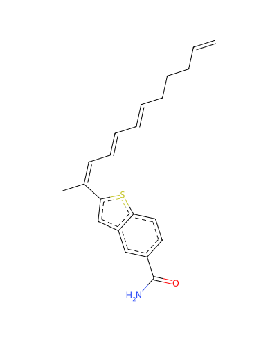 C=CCCC/C=C/C=C/C=C(/C)c1cc2cc(C(N)=O)ccc2s1